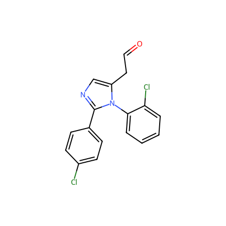 O=CCc1cnc(-c2ccc(Cl)cc2)n1-c1ccccc1Cl